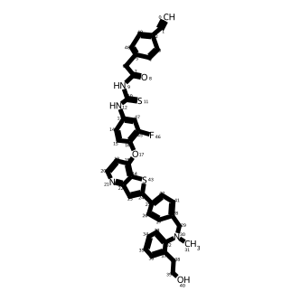 C#Cc1ccc(CC(=O)NC(=S)Nc2ccc(Oc3ccnc4cc(-c5ccc(CN(C)c6ccccc6CCO)cc5)sc34)c(F)c2)cc1